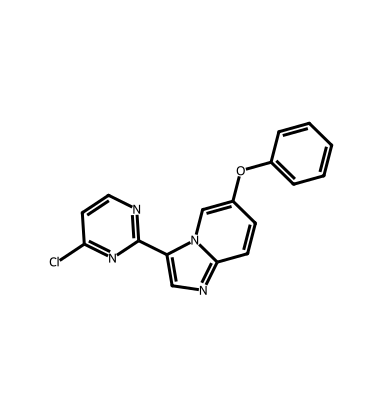 Clc1ccnc(-c2cnc3ccc(Oc4ccccc4)cn23)n1